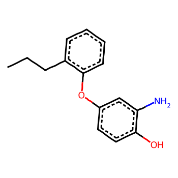 CCCc1ccccc1Oc1ccc(O)c(N)c1